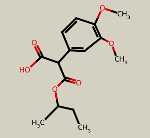 CCC(C)OC(=O)C(C(=O)O)c1ccc(OC)c(OC)c1